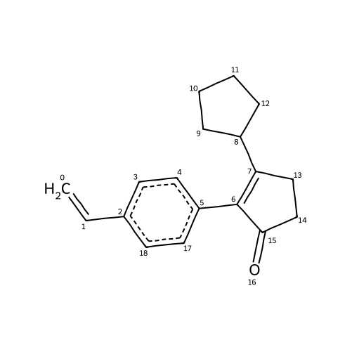 C=Cc1ccc(C2=C(C3CCCC3)CCC2=O)cc1